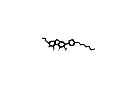 CCCCCCCc1ccc(-c2cc3c(c(F)c2F)-c2c(cc(CCC)c(F)c2F)C3)cc1